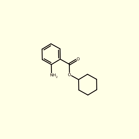 Nc1ccccc1C(=O)OC1CCCCC1